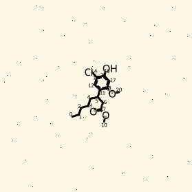 CCCCCC(CC(=O)OC)c1cc(Cl)c(O)cc1OC